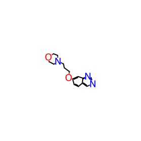 c1ncc2ccc(OCCCN3CCOCC3)cc2n1